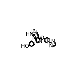 CC[C@H](C)Nc1ncc2c(OC3CCN(c4ncccn4)CC3)ncc([C@H]3CC[C@H](O)CC3)c2n1